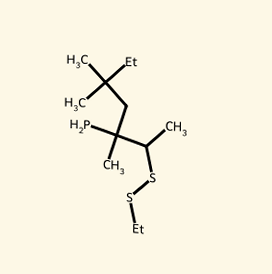 CCSSC(C)C(C)(P)CC(C)(C)CC